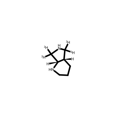 [2H]C1([2H])NC([2H])([2H])[C@H]2NCCC[C@H]21